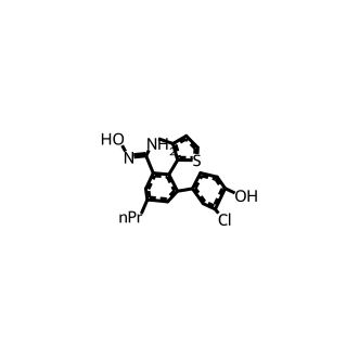 CCCc1cc(/C(N)=N/O)c(-c2sccc2C)c(-c2ccc(O)c(Cl)c2)c1